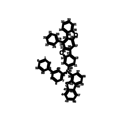 c1ccc(-c2cccc(N(c3ccc4c(c3)oc3c(-c5ccccc5)c5c(cc34)oc3ccccc35)c3cccc4c3sc3ccccc34)c2)cc1